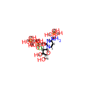 Nc1ccn([C@@H]2O[C@H](CO)[C@@H](O)[C@@H]2Cl)c(=O)n1.O=P(O)(O)O.O=P(O)(O)O.O=P(O)(O)O